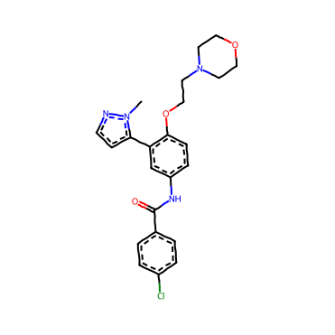 Cn1nccc1-c1cc(NC(=O)c2ccc(Cl)cc2)ccc1OCCN1CCOCC1